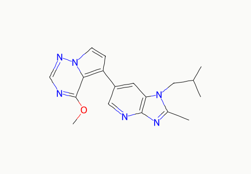 COc1ncnn2ccc(-c3cnc4nc(C)n(CC(C)C)c4c3)c12